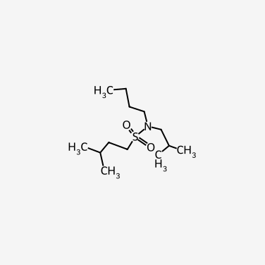 CCCCN(CC(C)C)S(=O)(=O)CCC(C)C